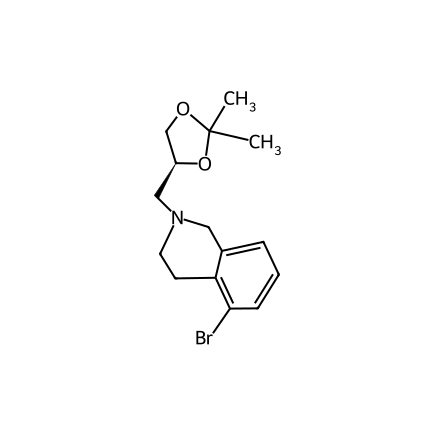 CC1(C)OC[C@H](CN2CCc3c(Br)cccc3C2)O1